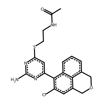 CC(=O)NCCSc1cc(-c2c(Cl)cc3c4c(cccc24)COC3)nc(N)n1